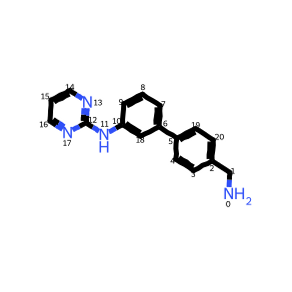 NCc1ccc(-c2cccc(Nc3ncccn3)c2)cc1